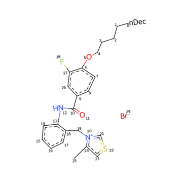 CCCCCCCCCCCCCCOc1ccc(C(=O)Nc2ccccc2C[n+]2cscc2C)cc1F.[Br-]